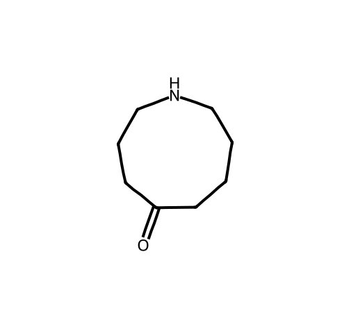 O=C1CCCCNCCC1